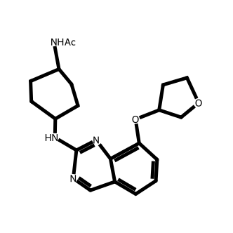 CC(=O)NC1CCC(Nc2ncc3cccc(OC4CCOC4)c3n2)CC1